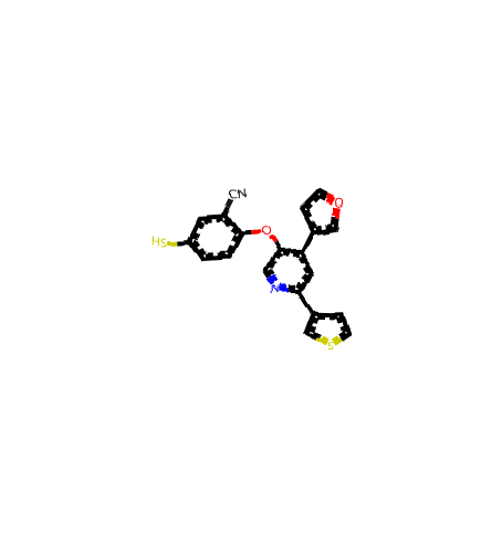 N#Cc1cc(S)ccc1Oc1cnc(-c2ccsc2)cc1-c1ccoc1